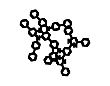 c1ccc(-c2ccc(N3c4ccc(-c5ccccc5)cc4B4c5cc(-c6ccccc6)ccc5N(c5ccc(-c6ccccc6)cc5)c5cc(-c6ccc7c(c6)c6ccccc6n7-c6cc(-c7nc(-c8ccccc8)cc(-c8ccccc8)n7)ccc6-c6nc(-c7ccccc7)cc(-c7ccccc7)n6)cc3c54)cc2)cc1